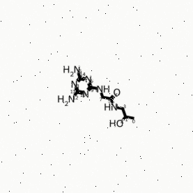 CC(O)CNC(=O)CNc1nc(N)nc(N)n1